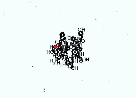 CC[C@H](C)[C@H](NC(=O)[C@H](Cc1ccc(O)cc1)NC(=O)[C@@H](N)Cc1ccc(O)cc1)C(=O)N1CCC[C@H]1C(=O)N[C@@H](CCC(=O)O)C(=O)N[C@@H](CCSC)C(=O)N[C@@H](CC(=O)O)C(=O)N[C@H](C(=O)N[C@@H](Cc1c[nH]c2ccccc12)C(=O)N[C@@H](CC(N)=O)C(=O)N[C@@H](CC(=O)O)C(=O)N[C@H](C(=O)N[C@@H](CC(=O)O)C(=O)N[C@@H](Cc1ccccc1)C(=O)NCC(=O)O)[C@@H](C)O)C(C)C